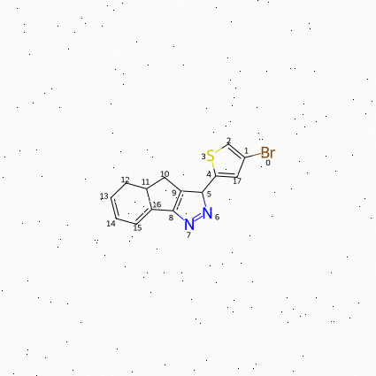 Brc1csc(C2N=NC3=C2CC2CC=CC=C32)c1